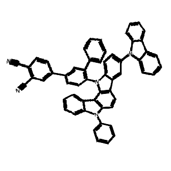 N#Cc1ccc(-c2ccc(-n3c4ccc(-n5c6ccccc6c6ccccc65)cc4c4ccc5c(c6ccccc6n5-c5ccccc5)c43)c(-c3ccccc3)c2)cc1C#N